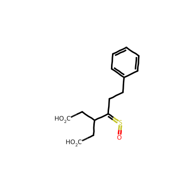 O=S=C(CCc1ccccc1)C(CC(=O)O)CC(=O)O